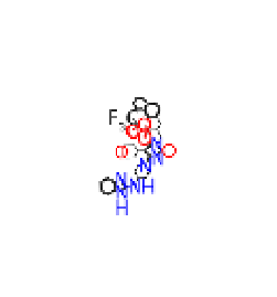 O=C(OC(=O)C(F)(F)F)C(Cc1ccc2ccccc2c1)Cn1cc(C2CCOCC2)c(N2CCC(Nc3nc4ccccc4[nH]3)CC2)nc1=O